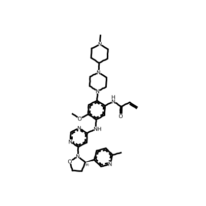 C=CC(=O)Nc1cc(Nc2cc(N3OCC[C@@H]3c3ccc(C)nc3)ncn2)c(OC)cc1N1CCN(C2CCN(C)CC2)CC1